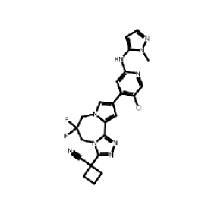 Cn1nccc1Nc1cc(-c2cc3n(c2)CC(F)(F)Cn2c-3nnc2C2(C#N)CCC2)c(Cl)cn1